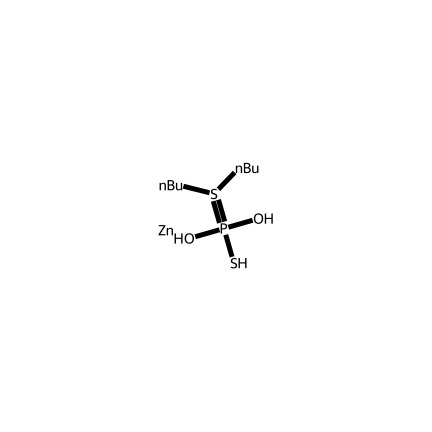 CCCCS(CCCC)=P(O)(O)S.[Zn]